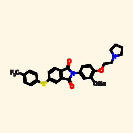 COc1cc(N2C(=O)c3ccc(Sc4ccc(C(F)(F)F)cc4)cc3C2=O)ccc1OCCN1CCCC1